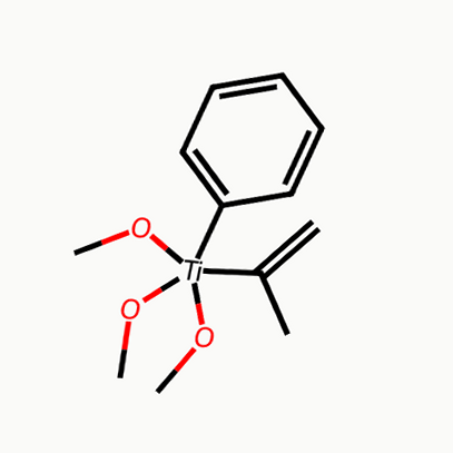 C=[C](C)[Ti]([O]C)([O]C)([O]C)[c]1ccccc1